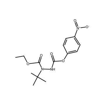 CCOC(=O)N(NC(=O)Oc1ccc([N+](=O)[O-])cc1)C(C)(C)C